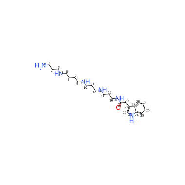 NCCCNCCCCNCCCNCCCNC(=O)Cc1c[nH]c2ccccc12